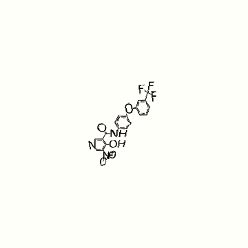 O=C(Nc1ccc(Oc2cccc(C(F)(F)F)c2)cc1)c1cncc([N+](=O)[O-])c1O